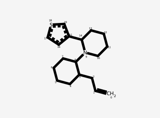 C=CCC1CCCCC1N1CCCCC1c1ccsc1